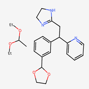 CCOC(C)OCC.c1ccc(C(CC2=NCCN2)c2cccc(C3OCCO3)c2)nc1